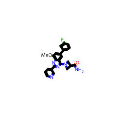 COc1cc(-c2cccc(F)c2)cc2c(N3CC(C(N)=O)C3)nc(-c3cccnc3)nc12